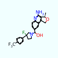 C[C@H]1OCc2c1c(N)nc1ccc(C(O)N3CC[C@](F)(c4ccc(C(F)(F)F)cc4)C3)cc21